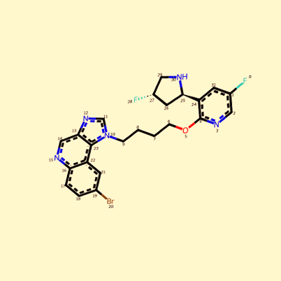 Fc1cnc(OCCCCn2cnc3cnc4ccc(Br)cc4c32)c([C@H]2C[C@H](F)CN2)c1